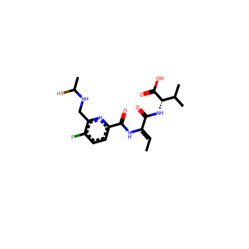 C/C=C(\NC(=O)c1ccc(F)c(CNC(C)S)n1)C(=O)N[C@H](C(=O)O)C(C)C